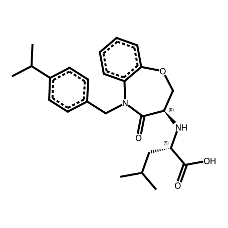 CC(C)C[C@H](N[C@@H]1COc2ccccc2N(Cc2ccc(C(C)C)cc2)C1=O)C(=O)O